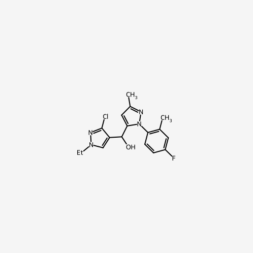 CCn1cc(C(O)c2cc(C)nn2-c2ccc(F)cc2C)c(Cl)n1